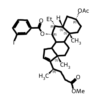 CC[C@H]1[C@@H](OC(=O)c2cccc(I)c2)C2C3CC=C([C@H](C)CCC(=O)OC)[C@@]3(C)CCC2[C@@]2(C)CC[C@@H](OC(C)=O)C[C@@H]12